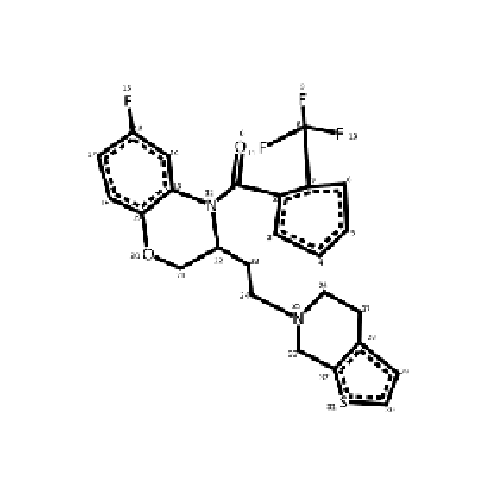 O=C(c1ccccc1C(F)(F)F)N1c2cc(F)ccc2OCC1CCN1CCc2ccsc2C1